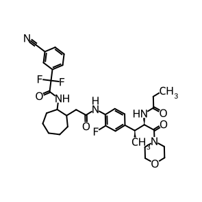 CCC(=O)N[C@@H](C(=O)N1CCOCC1)[C@@H](C)c1ccc(NC(=O)CC2CCCCCC2NC(=O)C(F)(F)c2cccc(C#N)c2)c(F)c1